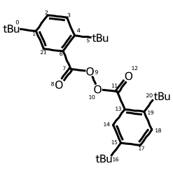 CC(C)(C)c1ccc(C(C)(C)C)c(C(=O)OOC(=O)c2cc(C(C)(C)C)ccc2C(C)(C)C)c1